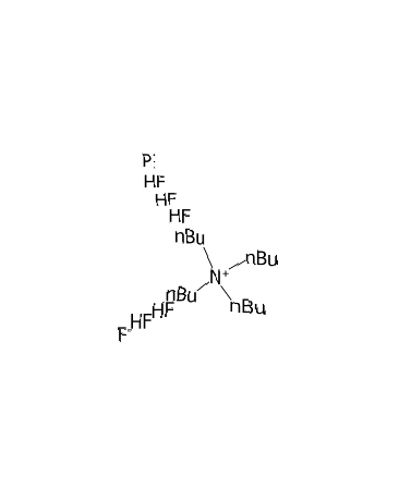 CCCC[N+](CCCC)(CCCC)CCCC.F.F.F.F.F.[F-].[P]